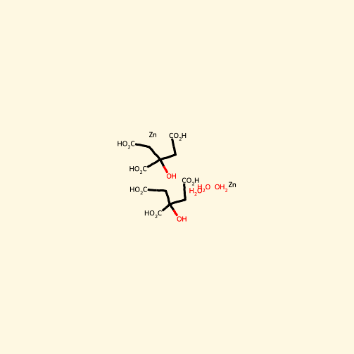 O.O.O.O=C(O)CC(O)(CC(=O)O)C(=O)O.O=C(O)CC(O)(CC(=O)O)C(=O)O.[Zn].[Zn]